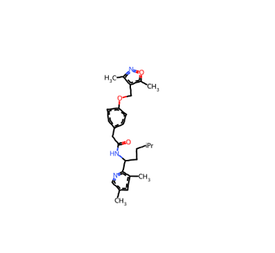 Cc1cnc(C(CCC(C)C)NC(=O)Cc2ccc(OCc3c(C)noc3C)cc2)c(C)c1